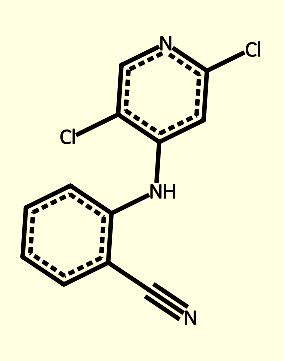 N#Cc1ccccc1Nc1cc(Cl)ncc1Cl